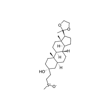 C[S+]([O-])CC[C@@]1(O)CC[C@@]2(C)[C@@H](CC[C@@H]3[C@@H]2CC[C@]2(C)[C@@H](C4(C)OCCO4)CC[C@@H]32)C1